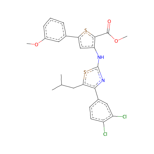 COC(=O)c1sc(-c2cccc(OC)c2)cc1Nc1nc(-c2ccc(Cl)c(Cl)c2)c(CC(C)C)s1